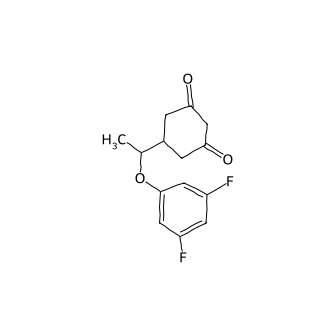 CC(Oc1cc(F)cc(F)c1)C1CC(=O)CC(=O)C1